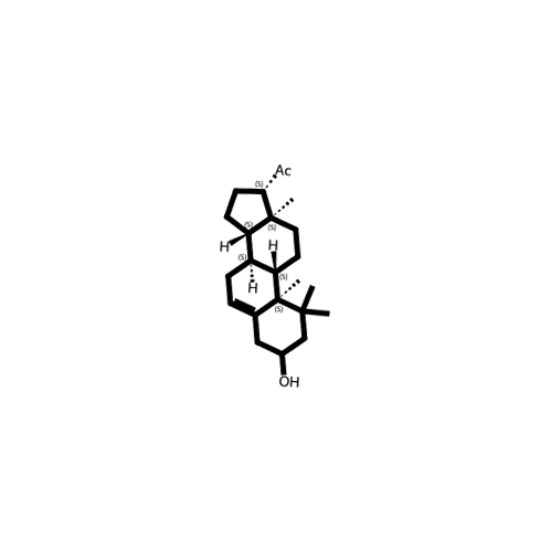 CC(=O)[C@H]1CC[C@H]2[C@@H]3CC=C4CC(O)CC(C)(C)[C@]4(C)[C@H]3CC[C@]12C